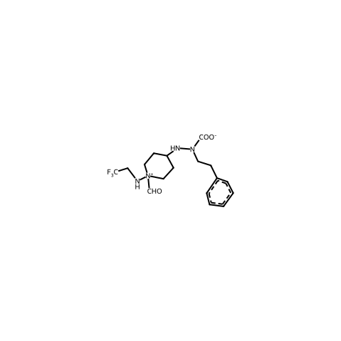 O=C[N+]1(NCC(F)(F)F)CCC(NN(CCc2ccccc2)C(=O)[O-])CC1